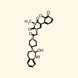 Cn1c(=O)c(-c2cccc(Cl)c2Cl)cn(CC(=O)N2CCC(N3CCc4ccccc4NC3O)CC2)c1=O